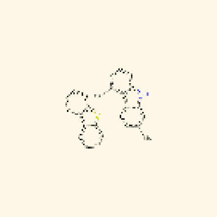 CC(C)(C)c1ccc2c(c1)[nH]c1cccc(C(C)(C)C)c12.c1ccc2c(c1)sc1ccccc12